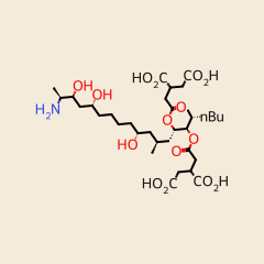 CCCC[C@@H](C)[C@@H](OC(=O)CC(CC(=O)O)C(=O)O)[C@H](C[C@@H](C)C[C@H](O)CCCC[C@@H](O)C[C@H](O)[C@H](C)N)OC(=O)CC(CC(=O)O)C(=O)O